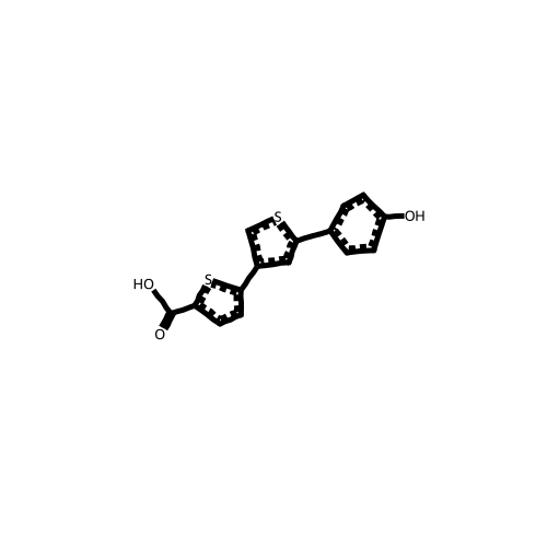 O=C(O)c1ccc(-c2csc(-c3ccc(O)cc3)c2)s1